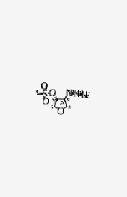 CS(=O)(=O)O[C@H]1COC[C@@H]1N=[N+]=[N-]